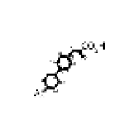 C=C(Cc1ccc(C2CCC(C(C)=O)CC2)cc1)C(=O)O